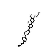 C=CCCc1ccc(C2CCC(c3ccc(-c4ccc(OCF)c(F)c4)c(F)c3)CC2)cc1